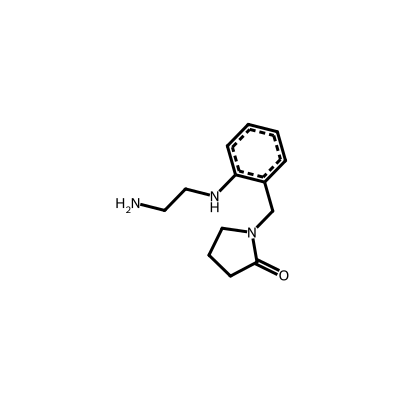 NCCNc1ccccc1CN1CCCC1=O